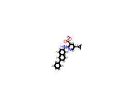 COC(=O)c1cc(C2CC2)cnc1Nc1ccc2cc(-c3ccccc3)ccc2c1